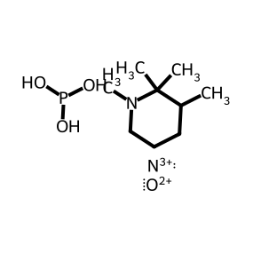 CC1CCCN(C)C1(C)C.OP(O)O.[N+3].[O+2]